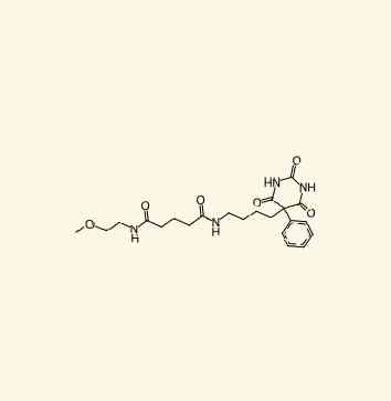 COCCNC(=O)CCCC(=O)NCCCCC1(c2ccccc2)C(=O)NC(=O)NC1=O